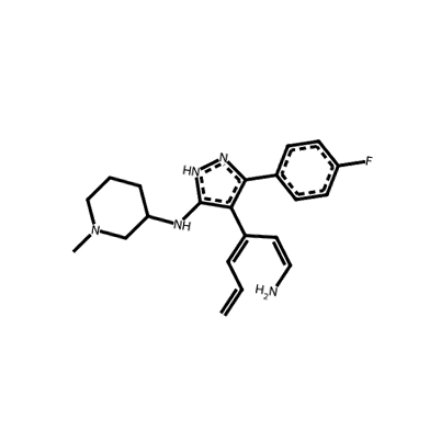 C=C/C=C(\C=C/N)c1c(-c2ccc(F)cc2)n[nH]c1NC1CCCN(C)C1